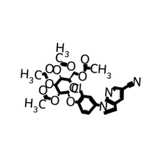 CC(=O)OC[C@H]1O[C@@H](Oc2ccc(-n3ccc4cc(C#N)cnc43)cc2Cl)[C@@H](OC(C)=O)[C@@H](OC(C)=O)[C@@H]1OC(C)=O